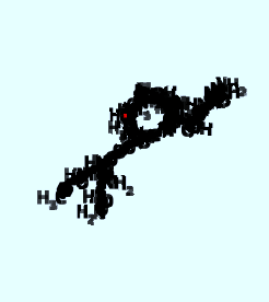 Cc1ccc(CCCC(=O)NCCCC[C@H](NC(=O)COCCOCCOCCNC(=O)[C@@H]2CCCCn3cc(nn3)C[C@H](NC(=O)CC[C@H](NC(=O)c3ccc(NCc4cnc5nc(N)[nH]c(=O)c5n4)cc3)C(=O)O)C(=O)N[C@H](Cc3cnc[nH]3)C(=O)N[C@H](CO)C(=O)N[C@H](Cc3cnc[nH]3)C(=O)N[C@H]([C@H](C)O)C(=O)N[C@H](C)C(=O)N2)C(=O)N[C@@H](CCCCNC(=O)CON)C(N)=O)cc1